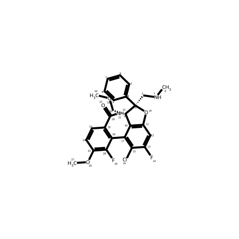 CNC[C@]1(c2ccccc2)Oc2cc(F)c(Cl)c(-c3c(C(N)=O)ccc(OC)c3F)c2[C@@H]1COC